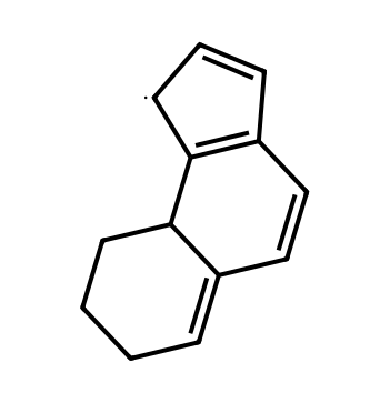 [CH]1C=CC2=C1C1CCCC=C1C=C2